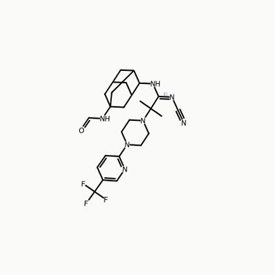 CC(C)(/C(=N\C#N)NC1C2CC3CC1CC(NC=O)(C3)C2)N1CCN(c2ccc(C(F)(F)F)cn2)CC1